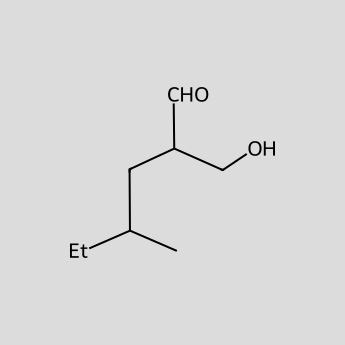 CCC(C)CC(C=O)CO